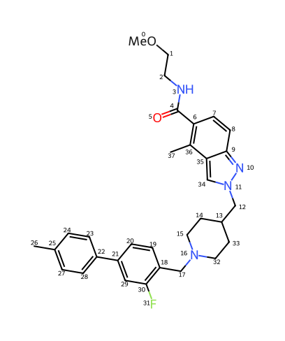 COCCNC(=O)c1ccc2nn(CC3CCN(Cc4ccc(-c5ccc(C)cc5)cc4F)CC3)cc2c1C